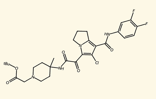 CC1(NC(=O)C(=O)c2c(Cl)c(C(=O)Nc3ccc(F)c(F)c3)c3n2CCC3)CCN(CC(=O)OC(C)(C)C)CC1